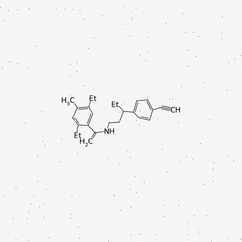 C#Cc1ccc(C(CC)CCNC(=C)c2cc(CC)c(C)cc2CC)cc1